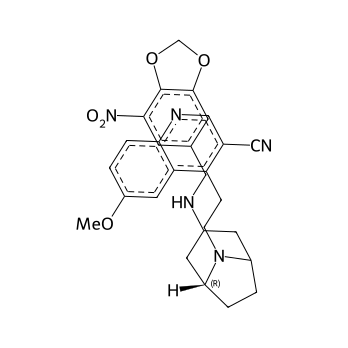 COc1ccc2ncc(C#N)c(CCN3C4CC[C@@H]3CC(NCc3cc5c(c([N+](=O)[O-])c3)OCO5)C4)c2c1